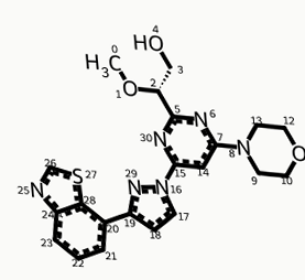 CO[C@H](CO)c1nc(N2CCOCC2)cc(-n2ccc(-c3cccc4ncsc34)n2)n1